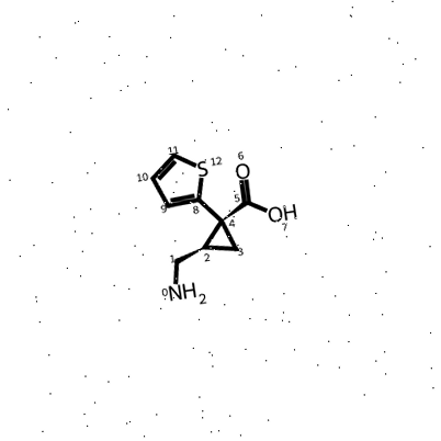 NC[C@@H]1C[C@@]1(C(=O)O)c1cccs1